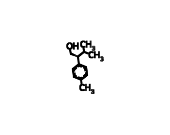 Cc1ccc([C@@H](CO)C(C)C)cc1